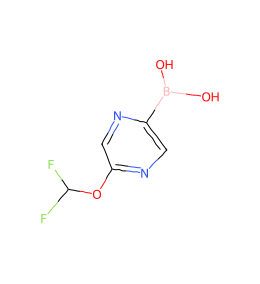 OB(O)c1cnc(OC(F)F)cn1